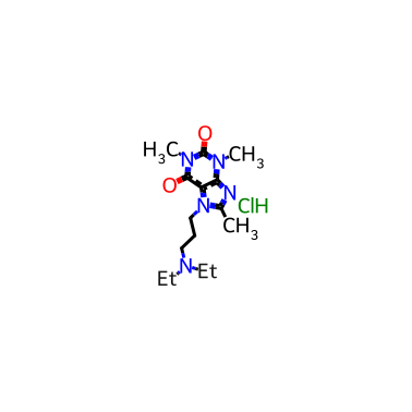 CCN(CC)CCCn1c(C)nc2c1c(=O)n(C)c(=O)n2C.Cl